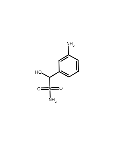 Nc1cccc(C(O)S(N)(=O)=O)c1